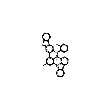 Cc1cc(-c2cc3sc4ccccc4c3cc2Nc2ccccc2C)c2c(c1)-n1c3ccccc3c3cccc(c31)B2